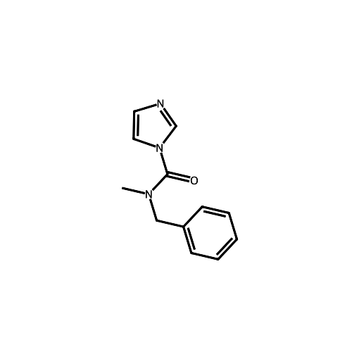 CN(Cc1ccccc1)C(=O)n1ccnc1